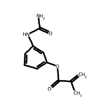 C=C(C)C(=O)Oc1cccc(NC(N)=O)c1